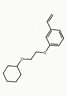 C=Cc1cccc(OCCOC2CCCCC2)c1